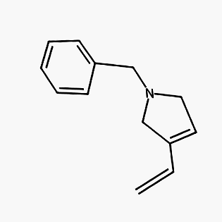 C=CC1=CCN(Cc2ccccc2)C1